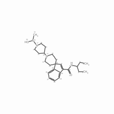 CCC(CC)NC(=O)C1=CC2(CCN(C3CCN(B(C)O)CC3)CC2)c2ccccc21